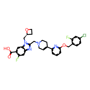 O=C(O)c1cc2c(cc1F)nc(CN1CC=C(c3cccc(OCc4ccc(Cl)cc4F)n3)CC1)n2C[C@@H]1CCO1